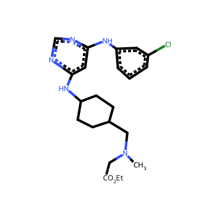 CCOC(=O)CN(C)CC1CCC(Nc2cc(Nc3cccc(Cl)c3)ncn2)CC1